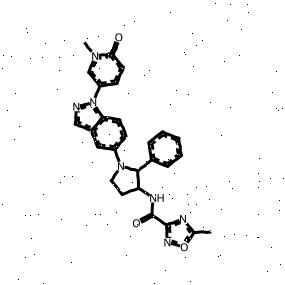 Cc1nc(C(=O)NC2CCN(c3ccc4c(cnn4-c4ccc(=O)n(C)c4)c3)C2c2ccccc2)no1